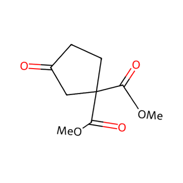 COC(=O)C1(C(=O)OC)CCC(=O)C1